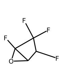 FC1C2OC2(F)C1(F)F